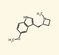 COc1ccc2[nH]cc(C[C@@H]3CCN3C)c2c1